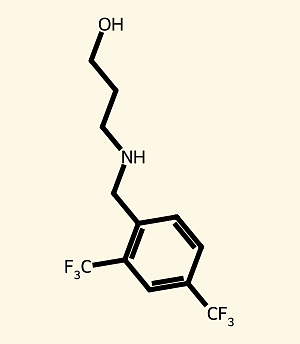 OCCCNCc1ccc(C(F)(F)F)cc1C(F)(F)F